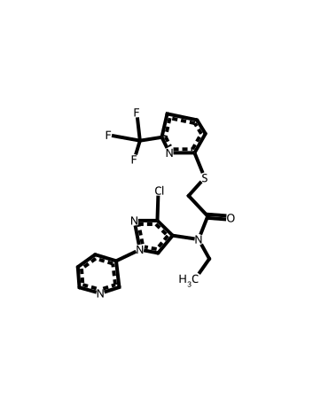 CCN(C(=O)CSc1cccc(C(F)(F)F)n1)c1cn(-c2cccnc2)nc1Cl